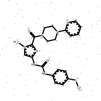 Cn1cc(NC(=O)Nc2ccc(SC(F)(F)F)cc2)nc1C(=O)N1CCN(c2ccccn2)CC1